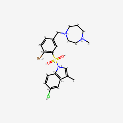 Cc1cn(S(=O)(=O)c2cc(CN3CCCN(C)CC3)ccc2Br)c2ccc(Cl)cc12